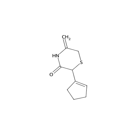 C=C1CSC(C2=CCCC2)C(=O)N1